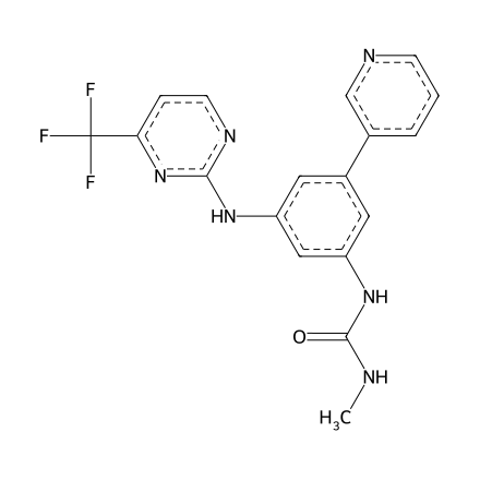 CNC(=O)Nc1cc(Nc2nccc(C(F)(F)F)n2)cc(-c2cccnc2)c1